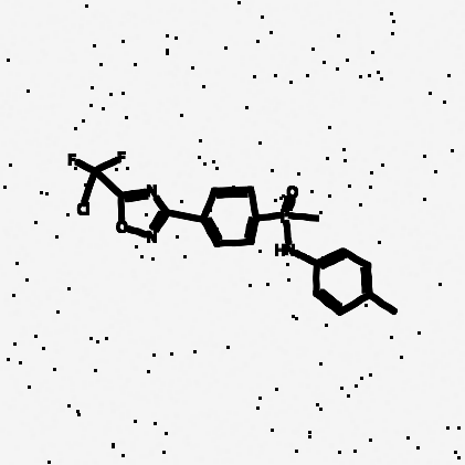 Cc1ccc(NP(C)(=O)c2ccc(-c3noc(C(F)(F)Cl)n3)cc2)cc1